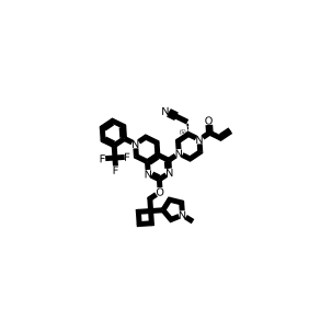 C=CC(=O)N1CCN(c2nc(OCC3(C4CCN(C)C4)CCC3)nc3c2CCN(c2ccccc2C(F)(F)F)C3)C[C@@H]1CC#N